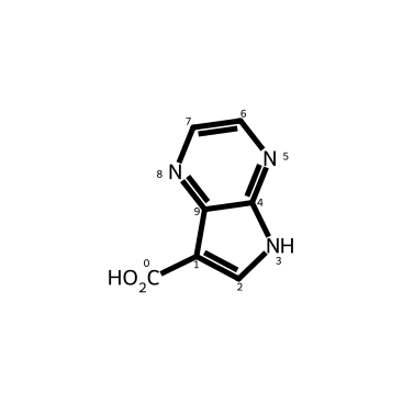 O=C(O)c1c[nH]c2nccnc12